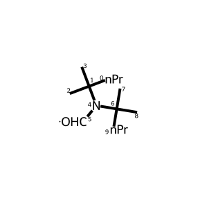 CCCC(C)(C)N([C]=O)C(C)(C)CCC